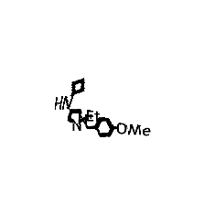 CC[N+]1(Cc2ccc(OC)cc2)C=C(NC2CCC2)C=N1